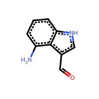 Nc1cccc2[nH]cc(C=O)c12